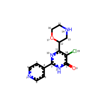 O=c1[nH]c(-c2ccncc2)nc(C2CNCCO2)c1Cl